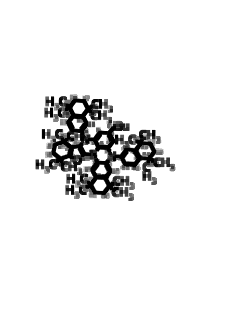 CCC(C)c1cc2c3c(c1)N(c1ccc4c(c1)C(C)(C)CCC4(C)C)c1c(oc4c1C(C)(C)CCC4(C)C)B3c1cc3c(cc1N2c1ccc2c(c1)C(C)(C)CCC2(C)C)C(C)(C)CCC3(C)C